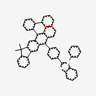 CC1(C)c2ccccc2-c2cc3c(-c4ccc(-c5nc6ccccc6n5-c5ccccc5)cc4)c4ccccc4c(-c4ccccc4-c4ccccc4)c3cc21